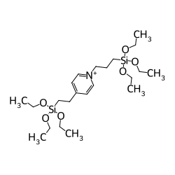 CCO[Si](CCC[n+]1ccc(CC[Si](OCC)(OCC)OCC)cc1)(OCC)OCC